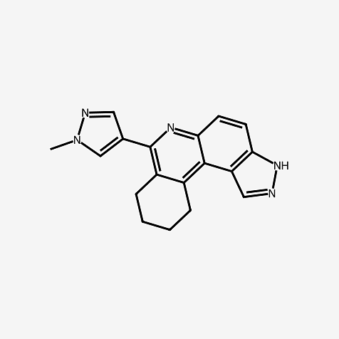 Cn1cc(-c2nc3ccc4[nH]ncc4c3c3c2CCCC3)cn1